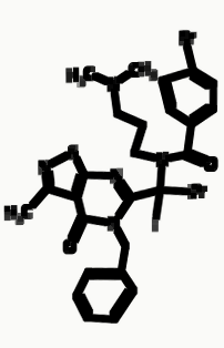 Cc1nsc2nc(C(I)(C(C)C)N(CCCN(C)C)C(=O)c3ccc(Br)cc3)n(Cc3ccccc3)c(=O)c12